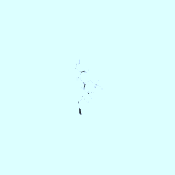 C#CC[N+](C)(C)C1(C)C=C(NC(=O)CCl)CC(C)(C)C1